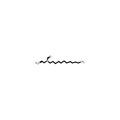 C=CCN(C=O)CCCCCCCCCCCC